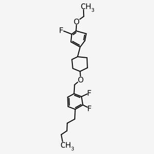 CCCCCc1ccc(COC2CCC(c3ccc(OCC)c(F)c3)CC2)c(F)c1F